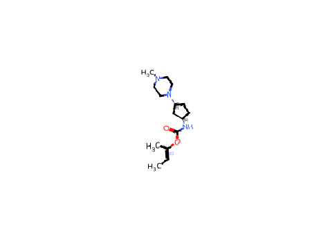 C/C=C(\C)OC(=O)N[C@H]1CC[C@@H](N2CCN(C)CC2)C1